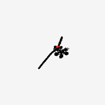 CC#CC#CC#CC#CC#CC#CC#CC#CC#CC#CC#CC#CC(=O)N[C@@H](COC1OC(CN=[N+]=[N-])C(OCc2ccccc2)C(OCc2ccccc2)C1OCc1ccccc1)[C@H](O[Si](C)(C)C(C)(C)C)[C@@H](CCCCCCCCCCCCCC)O[Si](C)(C)C(C)(C)C